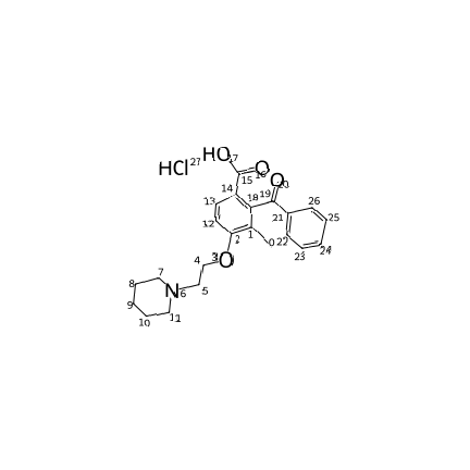 Cc1c(OCCN2CCCCC2)ccc(C(=O)O)c1C(=O)c1ccccc1.Cl